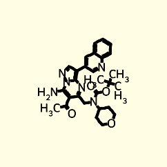 CC(=O)c1c(CN(C(=O)OC(C)(C)C)C2CCOCC2)nc2c(-c3cnc4ccccc4c3)cnn2c1N